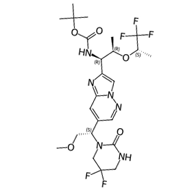 COC[C@H](c1cnn2cc([C@@H](NC(=O)OC(C)(C)C)[C@@H](C)O[C@@H](C)C(F)(F)F)nc2c1)N1CC(F)(F)CNC1=O